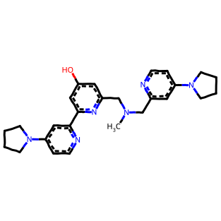 CN(Cc1cc(N2CCCC2)ccn1)Cc1cc(O)cc(-c2cc(N3CCCC3)ccn2)n1